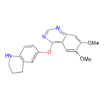 COc1cc2ncnc(Oc3ccc4c(c3)CCCN4)c2cc1OC